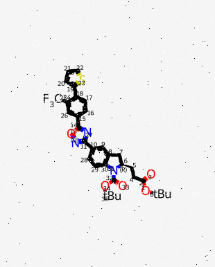 CC(C)(C)OC(=O)CC[C@@H]1Cc2cc(-c3noc(-c4ccc(-c5cccs5)c(C(F)(F)F)c4)n3)ccc2N1C(=O)OC(C)(C)C